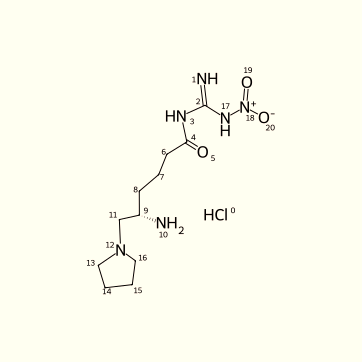 Cl.N=C(NC(=O)CCC[C@H](N)CN1CCCC1)N[N+](=O)[O-]